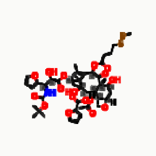 CSSCCCC(=O)O[C@H]1C(=O)[C@@]2(C)[C@H]([C@H](OC(=O)c3ccco3)[C@]3(O)C[C@H](OC(=O)[C@H](O)[C@@H](NC(=O)OC(C)(C)C)c4ccco4)C(C)=C1C3(C)C)[C@]1(OC(C)=O)CO[C@@H]1C[C@@H]2O